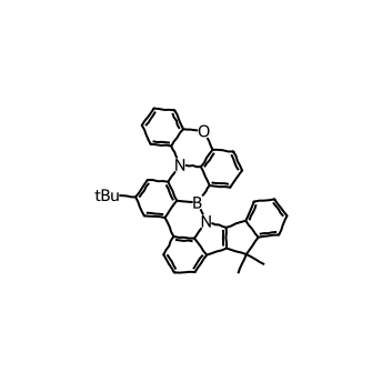 CC(C)(C)c1cc2c3c(c1)N1c4ccccc4Oc4cccc(c41)B3n1c3c(c4cccc-2c41)C(C)(C)c1ccccc1-3